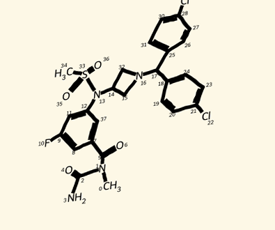 CN(C(N)=O)C(=O)c1cc(F)cc(N(C2CN(C(c3ccc(Cl)cc3)c3ccc(Cl)cc3)C2)S(C)(=O)=O)c1